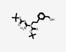 CC(C)(C)OC(=O)N=C(N)N(CCc1cccc(CO)c1)C(=O)OC(C)(C)C